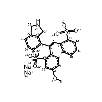 COc1ccc(C(=Cc2ccccc2S(=O)(=O)[O-])c2cccc3c2CNC3)c(S(=O)(=O)[O-])c1.[Na+].[Na+]